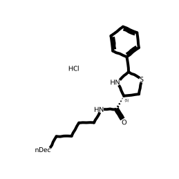 CCCCCCCCCCCCCCNC(=O)[C@H]1CSC(c2ccccc2)N1.Cl